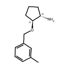 Cc1cccc(CO[C@H]2CCC[C@@H]2N)c1